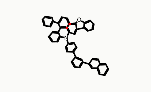 c1ccc(-c2ccccc2-c2ccccc2N(c2ccc(-c3cccc(-c4ccc5ccccc5c4)c3)cc2)c2ccc3oc4ccccc4c3c2)cc1